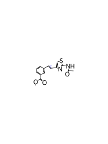 COC(=O)c1cccc(/C=C/c2csc(NC(C)=O)n2)c1